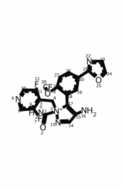 NC(=O)[N+]1(Cc2c(F)cncc2F)N=CC(N)=C1c1cc(-c2ncco2)ccc1OC(F)(F)F